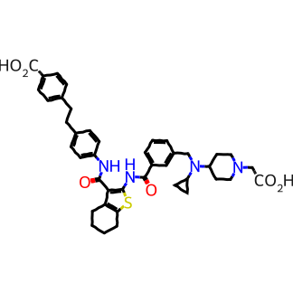 O=C(O)CN1CCC(N(Cc2cccc(C(=O)Nc3sc4c(c3C(=O)Nc3ccc(CCc5ccc(C(=O)O)cc5)cc3)CCCC4)c2)C2CC2)CC1